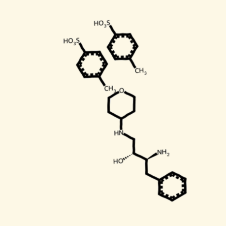 Cc1ccc(S(=O)(=O)O)cc1.Cc1ccc(S(=O)(=O)O)cc1.N[C@@H](Cc1ccccc1)[C@H](O)CNC1CCOCC1